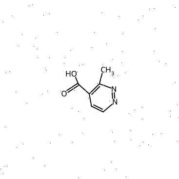 Cc1nnccc1C(=O)O